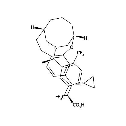 C[C@H](C(=O)O)[C@H](c1ccc2c(c1)O[C@H]1CCC[C@@H](CC2)CN([C@H](C)c2cc(C(F)(F)F)ccc2C(F)(F)F)C1)C1CC1